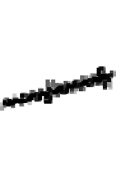 COCCCOCCOCC(=O)NCCOCCOCCOCCC(=O)NI